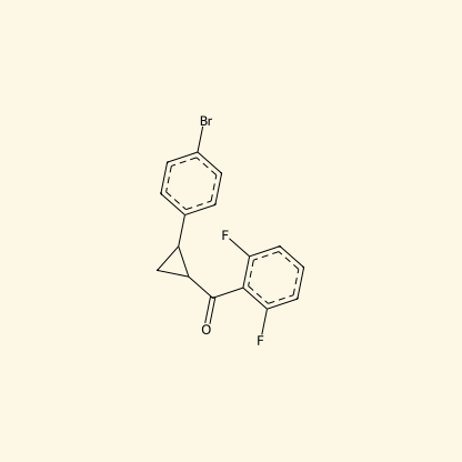 O=C(c1c(F)cccc1F)C1CC1c1ccc(Br)cc1